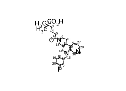 CC(C)(CCCC(=O)N1CCC2=C(C1)CN(Cc1cccc(F)c1)C1=C2C=CC=NC1)C(=O)O